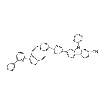 N#Cc1ccc2c3ccc(-c4ccc(-c5ccc6cc5/C=C\C5C=C(/C=C\6)C(c6cccc(-c7ccccc7)n6)=CC5)cc4)cc3n(-c3ccccc3)c2c1